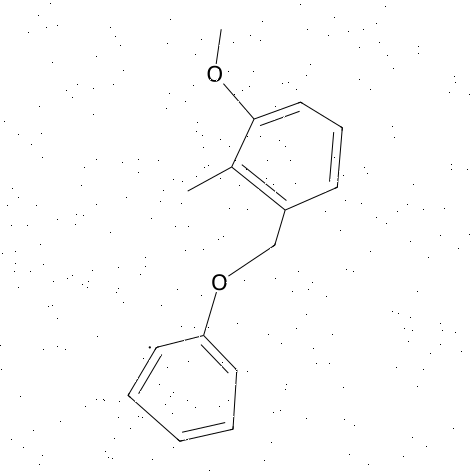 COc1cccc(COc2[c]cccc2)c1C